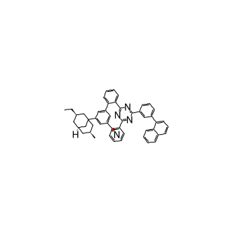 CC[C@@H]1C[C@@H]2C[C@H](C)CC(c3cc(C#N)cc(-c4ccccc4-c4nc(-c5ccccc5)nc(-c5cccc(-c6cccc7ccccc67)c5)n4)c3)(C1)C2